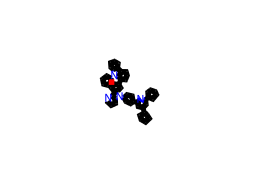 c1ccc(-c2cc(-c3ccccc3)nc(-c3ccc(-n4c5cc(-c6cccc7c8ccccc8n(-c8ccccc8)c67)ccc5c5ncccc54)cc3)c2)cc1